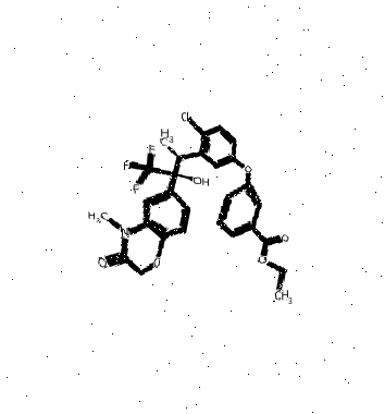 CCOC(=O)c1cccc(Oc2ccc(Cl)c([C@H](C)[C@](O)(c3ccc4c(c3)N(C)C(=O)CO4)C(F)(F)F)c2)c1